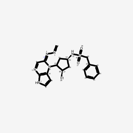 C=N/N=c1/cnc2[nH]ccc2n1C1C[C@@H](NS(=O)(=O)Cc2ccccc2)C[C@H]1CC